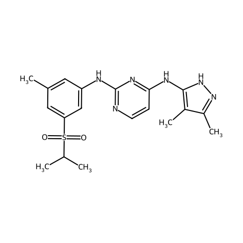 Cc1cc(Nc2nccc(Nc3[nH]nc(C)c3C)n2)cc(S(=O)(=O)C(C)C)c1